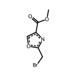 COC(=O)c1coc(CBr)n1